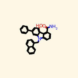 NC(=O)c1cccc2c1c1c(O)cc(-c3ccccc3)cc1n2Cc1cccc2ccccc12